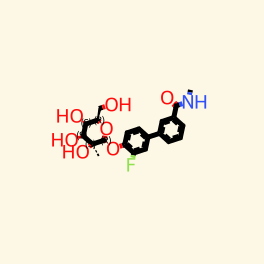 CNC(=O)c1cccc(-c2ccc(O[C@H]3O[C@H](CO)[C@@H](O)[C@H](O)[C@]3(C)O)c(F)c2)c1